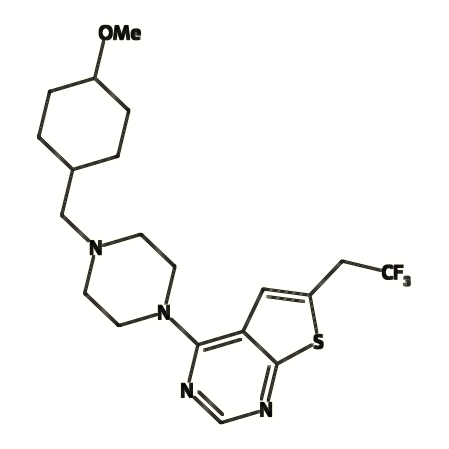 COC1CCC(CN2CCN(c3ncnc4sc(CC(F)(F)F)cc34)CC2)CC1